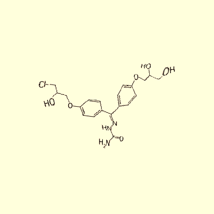 NC(=O)NN=C(c1ccc(OCC(O)CO)cc1)c1ccc(OCC(O)CCl)cc1